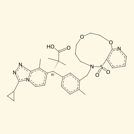 Cc1ccc([C@H](c2ccn3c(C4CC4)nnc3c2C)C(C)(C)C(=O)O)cc1CN1CCCOCCOc2ncccc2S1(=O)=O